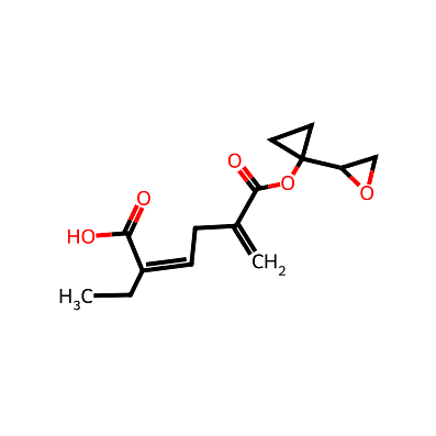 C=C(CC=C(CC)C(=O)O)C(=O)OC1(C2CO2)CC1